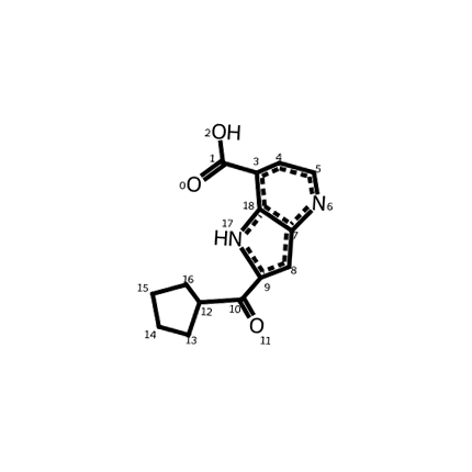 O=C(O)c1ccnc2cc(C(=O)C3CCCC3)[nH]c12